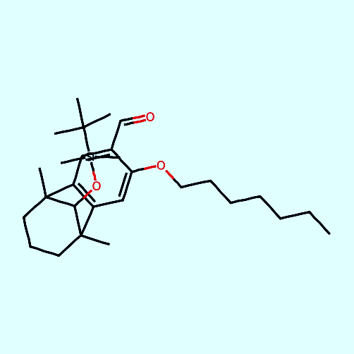 CCCCCCCOc1cc2c(cc1C=O)C1(C)CCCC2(C)C1O[Si](C)(C)C(C)(C)C